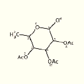 CC(=O)OC1C(C)OC(Cl)C(OC(C)=O)C1OC(C)=O